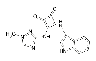 Cn1cnc(Nc2c(Nc3c[nH]c4ccccc34)c(=O)c2=O)n1